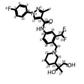 Cc1nn(-c2ccc(F)cc2)cc1C(=O)Nc1ccc(CN2CCCC(C(C)(O)CO)C2)c(C(F)F)c1